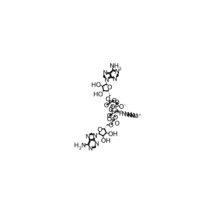 Nc1ncnc2c1ncn2[C@@H]1O[C@H](COP(=O)([O-])OP(=O)([O-])C([18F])P(=O)([O-])OP(=O)([O-])OC[C@H]2O[C@@H](n3cnc4c(N)ncnc43)[C@H](O)[C@@H]2O)[C@@H](O)[C@H]1O.[Na+].[Na+].[Na+].[Na+]